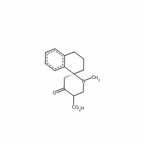 CN1CC(C(=O)O)C(=O)C[C@]12CCCc1ccccc12